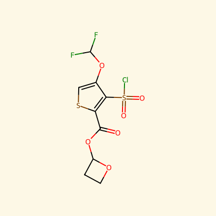 O=C(OC1CCO1)c1scc(OC(F)F)c1S(=O)(=O)Cl